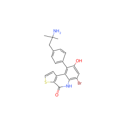 CC(C)(N)Cc1ccc(-c2c(O)cc(Br)c3[nH]c(=O)c4sccc4c23)cc1